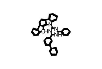 c1ccc(C2=NC(n3c4ccccc4c4ccc5c6ccccc6oc5c43)NC(c3cccc(-c4ccccc4)c3)N2)cc1